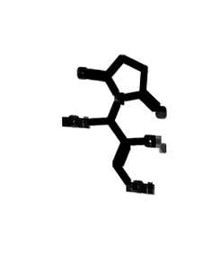 CCCCCCCC/C=C(\C)C(CCCCCCCC)N1C(=O)CCC1=O